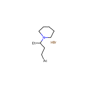 Br.CCC(CCC(C)=O)N1CCCCC1